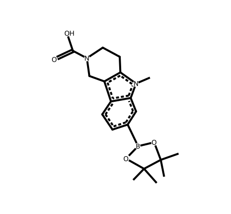 Cn1c2c(c3ccc(B4OC(C)(C)C(C)(C)O4)cc31)CN(C(=O)O)CC2